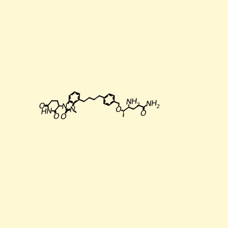 C[C@@H](OCc1ccc(CCCCc2cccc3c2n(C)c(=O)n3C2CCC(=O)NC2=O)cc1)[C@@H](N)CCC(N)=O